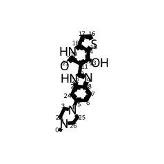 CN1CCN(c2ccc3nc(-c4c(O)c5sccc5[nH]c4=O)[nH]c3c2)CC1